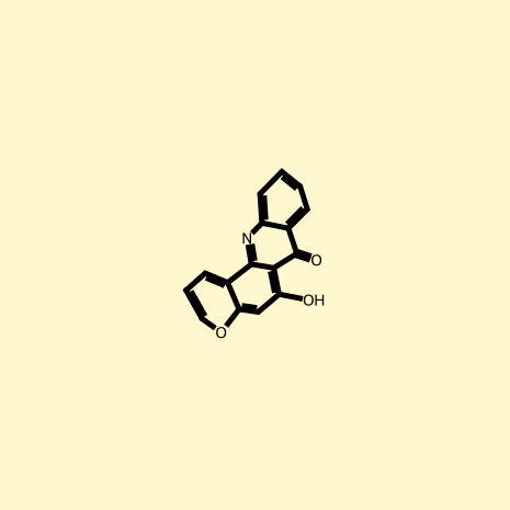 O=c1c2ccccc2nc2c1c(O)cc1occcc12